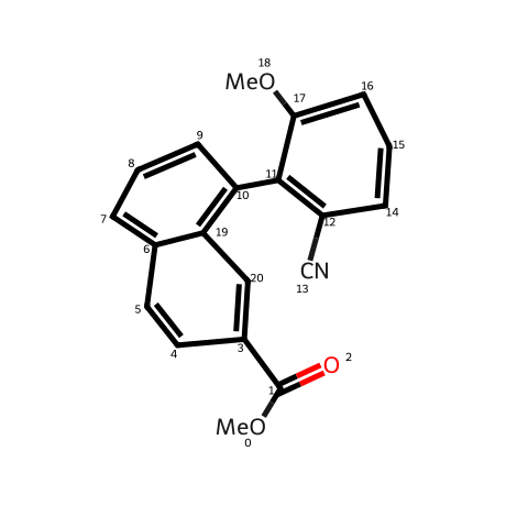 COC(=O)c1ccc2cccc(-c3c(C#N)cccc3OC)c2c1